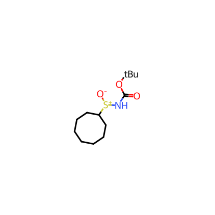 CC(C)(C)OC(=O)N[S+]([O-])C1CCCCCCC1